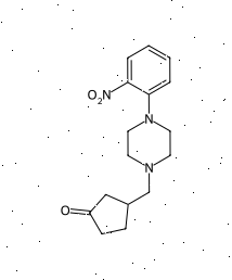 O=C1CCC(CN2CCN(c3ccccc3[N+](=O)[O-])CC2)C1